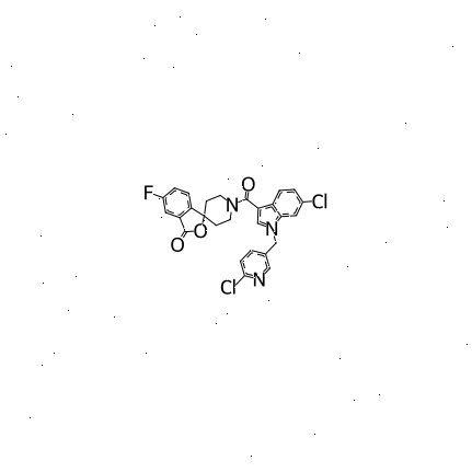 O=C1OC2(CCN(C(=O)c3cn(Cc4ccc(Cl)nc4)c4cc(Cl)ccc34)CC2)c2ccc(F)cc21